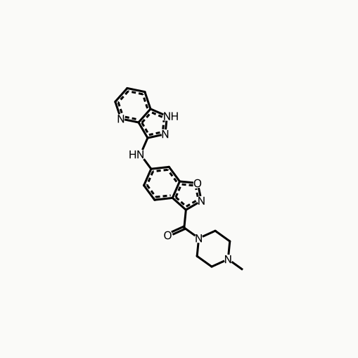 CN1CCN(C(=O)c2noc3cc(Nc4n[nH]c5cccnc45)ccc23)CC1